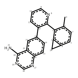 Cc1ccc2c(c1-c1ncccc1-c1ccc3ncnc(N)c3c1)C2